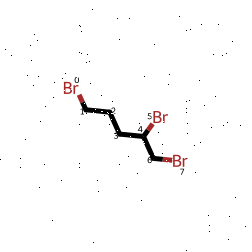 BrCCCC(Br)CBr